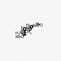 COC[C@]12C[C@H]1[C@@](C)(c1cc(Nc3nccc4cc(OCc5ncc(Cl)s5)cnc34)cc(F)c1F)N=C(N)S2